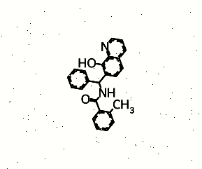 Cc1ccccc1C(=O)NC(c1ccccc1)c1ccc2cccnc2c1O